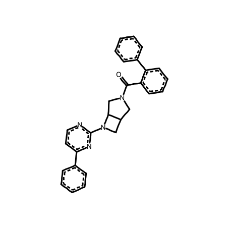 O=C(c1ccccc1-c1ccccc1)N1CC2CN(c3nccc(-c4ccccc4)n3)C2C1